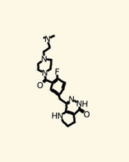 CN(C)CCN1CCN(C(=O)c2cc(Cc3n[nH]c(=O)c4c3NCCC4)ccc2F)CC1